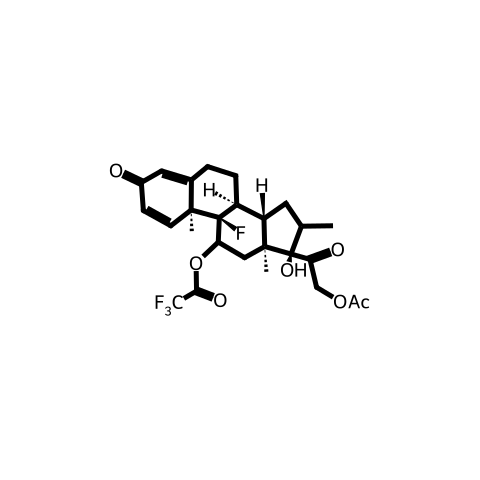 CC(=O)OCC(=O)[C@@]1(O)C(C)C[C@H]2[C@@H]3CCC4=CC(=O)C=C[C@]4(C)[C@@]3(F)C(OC(=O)C(F)(F)F)C[C@@]21C